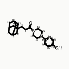 O=C(CCC12CC3CC(CC(C3)C1)C2)N1CCN(c2ccc(O)cn2)CC1